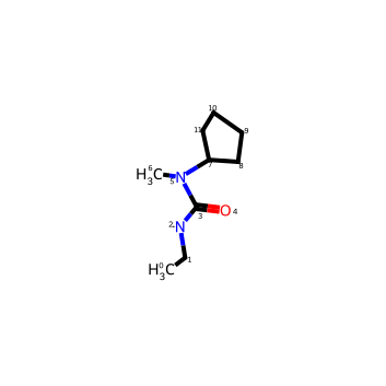 CC[N]C(=O)N(C)C1CCCC1